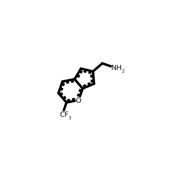 NCc1cc2ccc(C(F)(F)F)oc-2c1